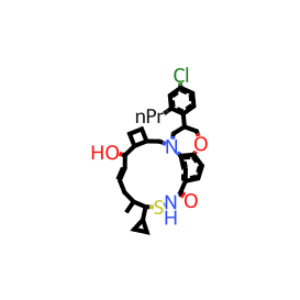 CCCc1cc(Cl)ccc1C1COc2ccc3cc2N(C1)CC1CCC1C(O)/C=C/CC(C)C(C1CC1)SNC3=O